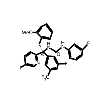 COc1ccccc1C[C@](NC(=O)Nc1cccc(F)c1)(c1cc(F)cc(C(F)(F)F)c1)c1ccc(I)cn1